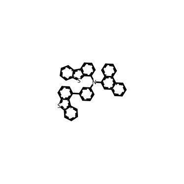 c1cc(-c2cccc3sc4ccccc4c23)cc(N(c2cc3ccccc3c3ccccc23)c2cccc3c2sc2ccccc23)c1